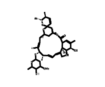 CC/C1=C\C[C@@H]2C[C@@H](CC3(C=C[C@H](C)[C@@H]([C@@H](C)CC)O3)O2)OC(=O)C2C=C(C)[C@@H](O)[C@H]3OC/C(=C\C=C\[C@H](C)[C@@H]1OC1CC(OC)C(O)C(C)O1)[C@@]23O